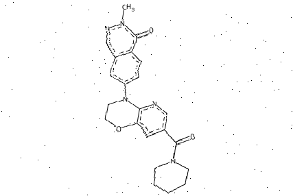 Cn1ncc2cc(N3CCOc4cc(C(=O)N5CCCCC5)cnc43)ccc2c1=O